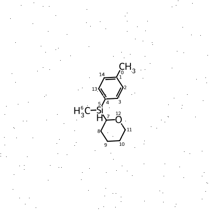 Cc1ccc([SiH](C)C2CCCCO2)cc1